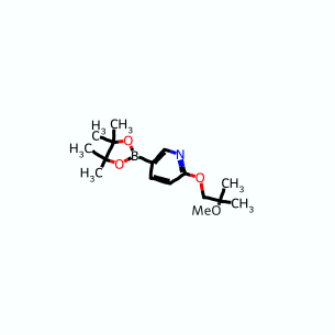 COC(C)(C)COc1ccc(B2OC(C)(C)C(C)(C)O2)cn1